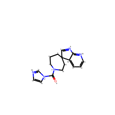 O=C(N1CCCC2(C=Nc3ncccc32)CC1)n1ccnc1